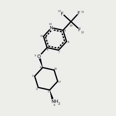 N[C@H]1CC[C@@H](Oc2ccc(C(F)(F)F)nc2)CC1